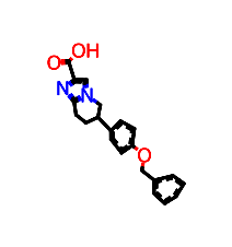 O=C(O)c1cn2c(n1)CCC(c1ccc(OCc3ccccc3)cc1)C2